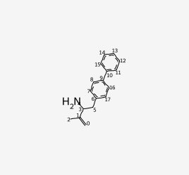 C=C(C)C(N)Cc1ccc(-c2ccccc2)cc1